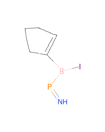 N=PB(I)C1=CCCC1